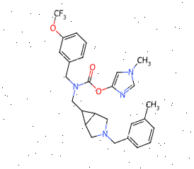 Cc1cccc(CN2CC3C(C2)C3CN(Cc2cccc(OC(F)(F)F)c2)C(=O)Oc2cn(C)cn2)c1